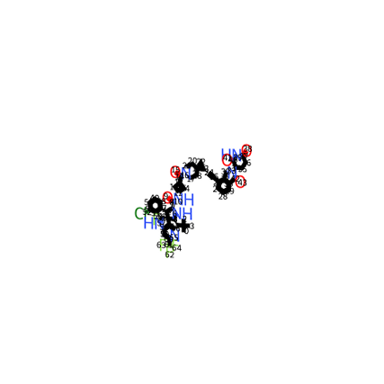 CC(C)(C)C[C@@H]1N[C@@H](C(=O)NC23CC(C(=O)N4CCC5(CC4)C[C@@H]5C#Cc4cccc5c4CN([C@H]4CCC(=O)NC4=O)C5=O)(C2)C3)[C@H](c2cccc(Cl)c2F)[C@]12CNc1cc(C(F)(F)F)ncc12